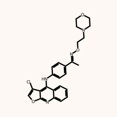 CC(=NOCCN1CCOCC1)c1ccc(Nc2c3ccccc3nc3occ(Cl)c23)cc1